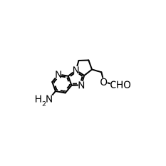 Nc1cnc2c(c1)nc1n2CCC1COC=O